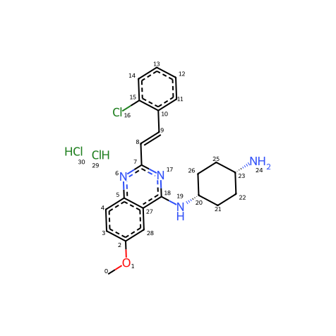 COc1ccc2nc(C=Cc3ccccc3Cl)nc(N[C@H]3CC[C@@H](N)CC3)c2c1.Cl.Cl